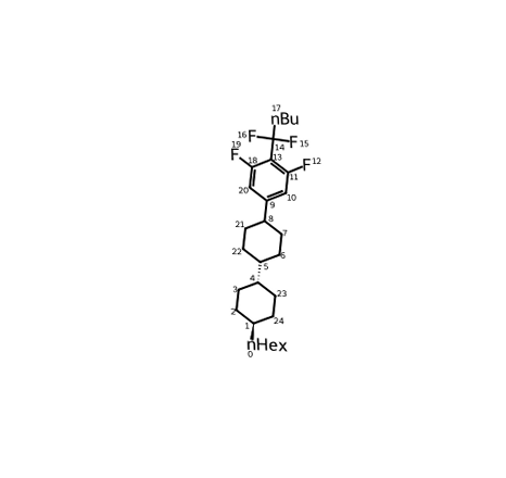 CCCCCC[C@H]1CC[C@H](C2CCC(c3cc(F)c(C(F)(F)CCCC)c(F)c3)CC2)CC1